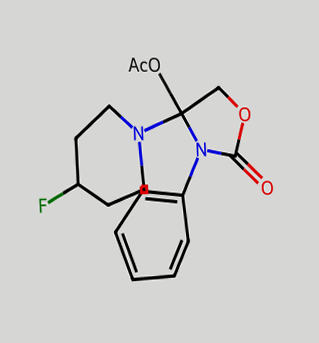 CC(=O)OC1(N2CCC(F)CC2)COC(=O)N1c1ccccc1